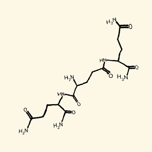 NC(=O)CCC(NC(=O)CCC(N)C(=O)NC(CCC(N)=O)C(N)=O)C(N)=O